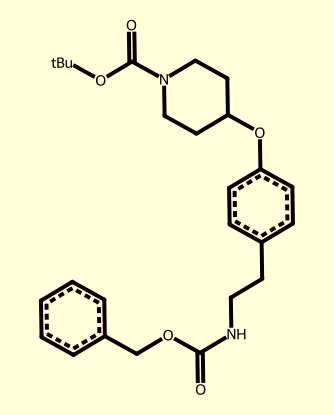 CC(C)(C)OC(=O)N1CCC(Oc2ccc(CCNC(=O)OCc3ccccc3)cc2)CC1